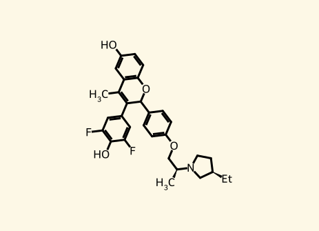 CC[C@@H]1CCN([C@@H](C)COc2ccc(C3Oc4ccc(O)cc4C(C)=C3c3cc(F)c(O)c(F)c3)cc2)C1